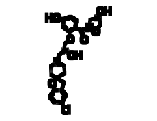 O=C(c1ccc(O)cc1OC[C@H](O)CN1CCC2(CC1)Cc1cc(Cl)ccc1O2)N1C[C@H](O)CO1